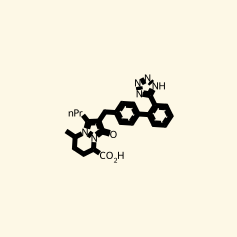 CCCc1c(Cc2ccc(-c3ccccc3-c3nnn[nH]3)cc2)c(=O)n2n1C(C)CCC2C(=O)O